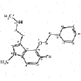 CNCCc1cn(C)c2ccc(F)c(OCCC3C=CC=CC3)c12